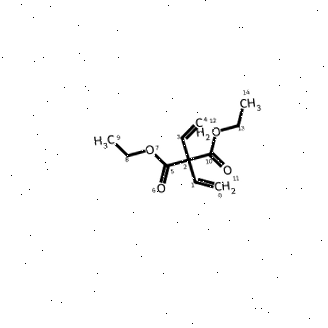 C=CC(C=C)(C(=O)OCC)C(=O)OCC